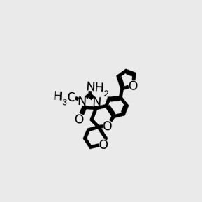 CN1C(=O)C2(CC3(CCCOC3)Oc3ccc(-c4ccco4)cc32)N=C1N